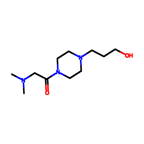 CN(C)CC(=O)N1CCN(CCCO)CC1